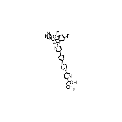 CCC(O)c1ccc(N2CCN(c3ccc(-c4ccc(C(F)(F)[C@](O)(Cn5cnnn5)c5ccc(F)cc5F)nc4)cc3)CC2)cn1